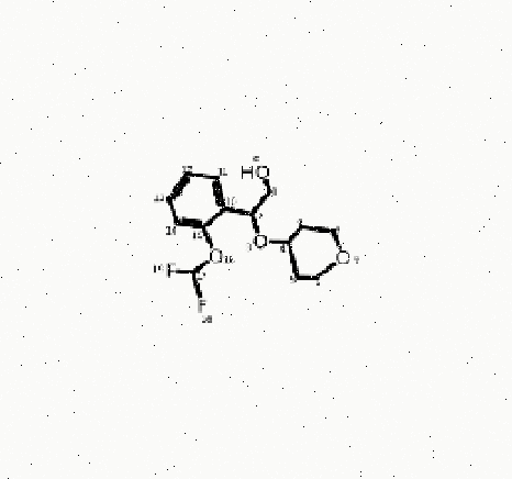 OCC(OC1CCOCC1)c1ccccc1OC(F)F